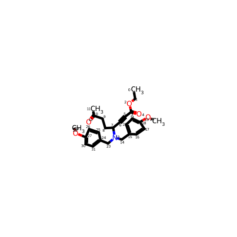 CCOC(=O)C#CC(CCC(C)=O)N(Cc1ccc(OC)cc1)Cc1ccc(OC)cc1